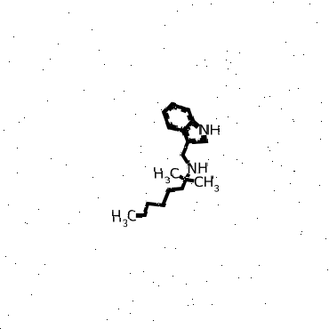 CCCCCCC(C)(C)NCc1c[nH]c2ccccc12